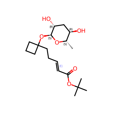 C[C@@H]1O[C@@H](OC2(CC/C=C/C(=O)OC(C)(C)C)CCC2)[C@H](O)C[C@H]1O